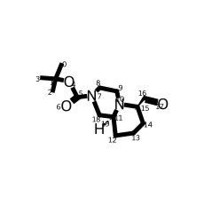 CC(C)(C)OC(=O)N1CCN2[C@@H](CCC[C@@H]2C=O)C1